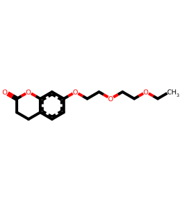 CCOCCOCCOc1ccc2c(c1)OC(=O)CC2